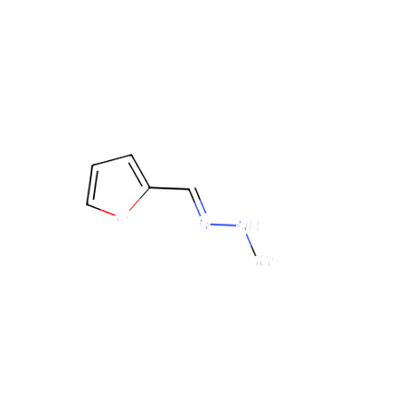 CC(C)N/N=C/c1ccco1